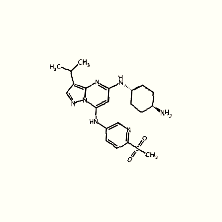 CC(C)c1cnn2c(Nc3ccc(S(C)(=O)=O)nc3)cc(N[C@H]3CC[C@H](N)CC3)nc12